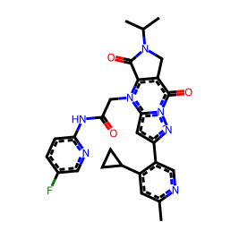 Cc1cc(C2CC2)c(-c2cc3n(CC(=O)Nc4ccc(F)cn4)c4c(c(=O)n3n2)CN(C(C)C)C4=O)cn1